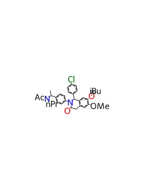 CCCN(C(C)=O)C(C)c1ccc(N2C(=O)Cc3cc(OC)c(O[C@H](C)CC)cc3C2c2ccc(Cl)cc2)cc1